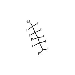 C[CH]C(F)(F)C(F)(F)C(F)(F)C(F)(F)C(F)F